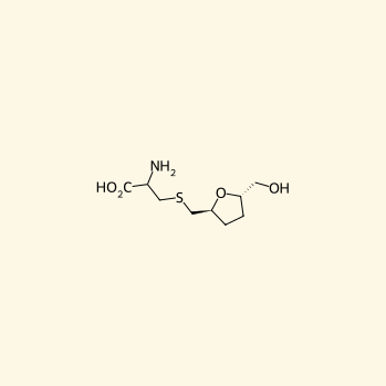 NC(CSC[C@@H]1CC[C@@H](CO)O1)C(=O)O